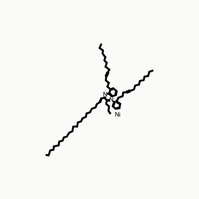 CCCCCCCCCC#CCCCc1ccccc1N=C(C=CCCCCCCCCCCCCCCCCCCCCCCC)C(CCCC)=Nc1ccccc1CCCC#CCCCCCCCCC.[Ni]